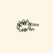 CCCN(CCNC=O)Cc1ccc(-c2cccc(-c3cccc(NC(=O)c4nc5c(n4C)CCN(C)C5)c3Cl)c2Cl)nc1OC